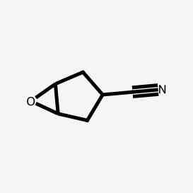 N#CC1CC2OC2C1